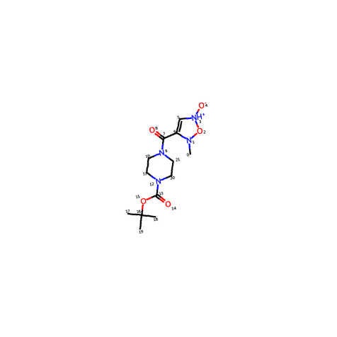 CN1O[NH+]([O-])C=C1C(=O)N1CCN(C(=O)OC(C)(C)C)CC1